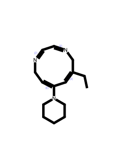 CC/C1=C/C(N2CCCCC2)=C\C/N=C\C=N/C1